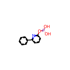 OP(O)Oc1cccc(-c2ccccc2)n1